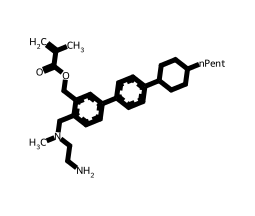 C=C(C)C(=O)OCc1cc(-c2ccc(C3CCC(CCCCC)CC3)cc2)ccc1CN(C)CCN